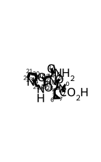 CN(C(=O)O)C(CC1CC1)C(=O)N1C[C@@]2(C[C@H]1C(N)=O)Oc1cccnc1CNC2=O